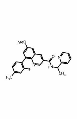 COc1cc(-c2ccc(C(F)(F)F)cc2F)c2ncc(C(=O)NC(C)c3ccccn3)cc2c1